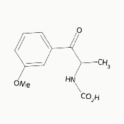 COc1cccc(C(=O)C(C)NC(=O)O)c1